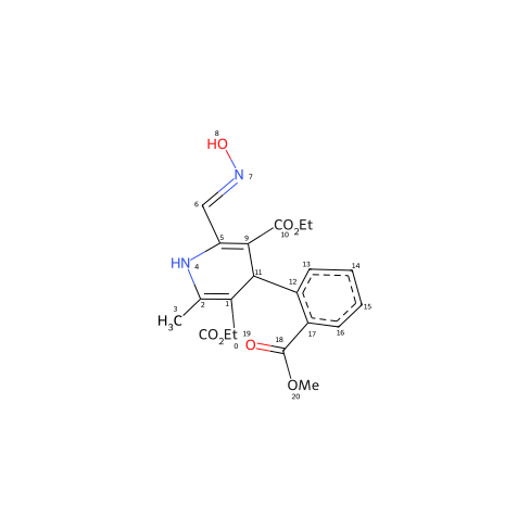 CCOC(=O)C1=C(C)NC(C=NO)=C(C(=O)OCC)C1c1ccccc1C(=O)OC